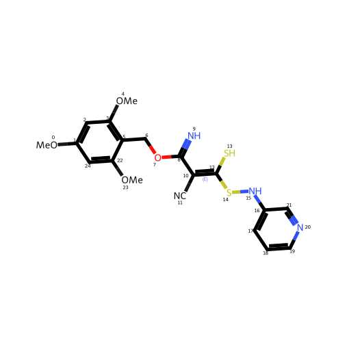 COc1cc(OC)c(COC(=N)/C(C#N)=C(\S)SNc2cccnc2)c(OC)c1